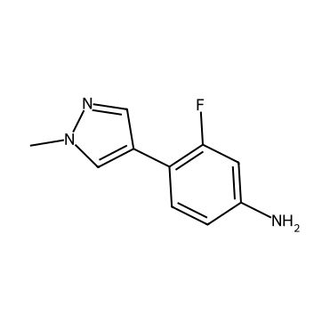 Cn1cc(-c2ccc(N)cc2F)cn1